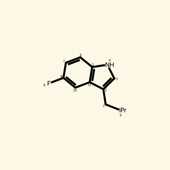 CC(C)Cc1c[nH]c2ccc(F)cc12